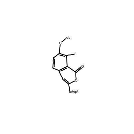 CCCCCCCc1cc2ccc(OCCCC)c(F)c2c(=O)o1